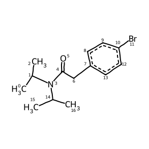 CC(C)N(C(=O)Cc1ccc(Br)cc1)C(C)C